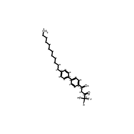 CCCCCCCCCCCCc1ccc(-c2ccc(C(=O)CC(=O)C(F)(F)F)cc2)cc1